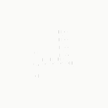 O.O.O.O.O.O.O.O.[Cl][Ca][Cl]